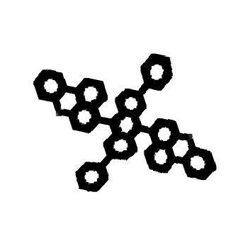 c1ccc(-c2ccc3c(-c4ccc5c6c(cccc46)-c4ccccc4S5)c4cc(-c5ccccc5)ccc4c(-c4ccc5c6c(cccc46)-c4ccccc4S5)c3c2)cc1